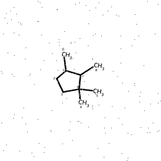 CC1CCC(C)(C)C1C